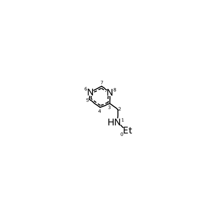 CCNCc1ccncn1